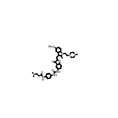 COc1ccc2c(c1)c(/C=C1\Oc3ccc(NC(=O)Nc4ccc(NC(=O)CCN(C)C)cc4)cc3C1=O)c(C)n2CCN1CCN(C)CC1